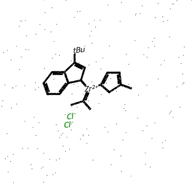 CC1=CC=[C]([Zr+2](=[C](C)C)[CH]2C=C(C(C)(C)C)c3ccccc32)C1.[Cl-].[Cl-]